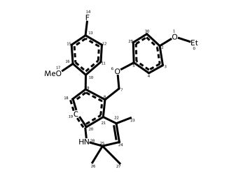 CCOc1ccc(OCc2c(-c3ccc(F)cc3OC)ccc3c2C(C)=CC(C)(C)N3)cc1